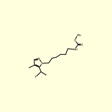 CC(C)(C)OC(=O)NCCCCCCn1ncc(I)c1C(F)F